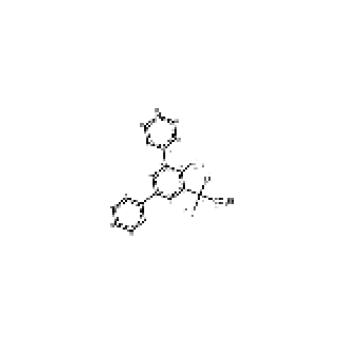 CCCC(CC)(C(=O)OCC)c1cc(-c2ccccc2)cc(-c2ccncc2)c1C(F)(F)F